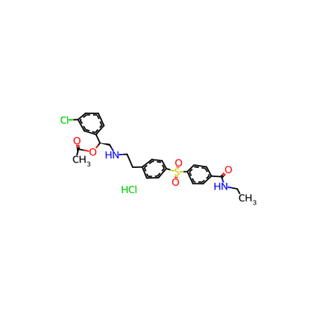 CCNC(=O)c1ccc(S(=O)(=O)c2ccc(CCNC[C@@H](OC(C)=O)c3cccc(Cl)c3)cc2)cc1.Cl